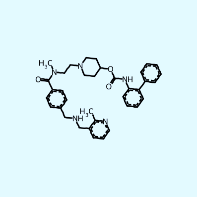 Cc1ncccc1CNCc1ccc(C(=O)N(C)CCN2CCC(OC(=O)Nc3ccccc3-c3ccccc3)CC2)cc1